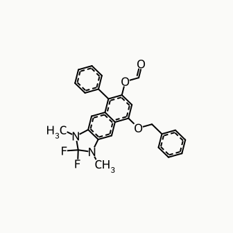 CN1c2cc3c(OCc4ccccc4)cc(OC=O)c(-c4ccccc4)c3cc2N(C)C1(F)F